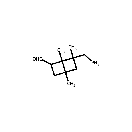 CC1(CP)CC2(C)CC(C=O)C12C